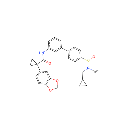 CCCN(CC1CC1)[S+]([O-])c1ccc(-c2cccc(NC(=O)C3(c4ccc5c(c4)OCO5)CC3)c2)cc1